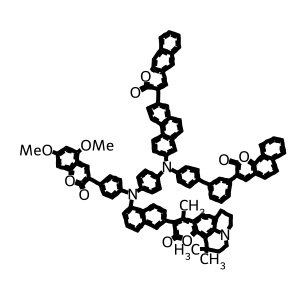 COc1cc(OC)c2cc(-c3ccc(N(c4ccc(N(c5ccc(-c6cccc(-c7cc8ccc9ccccc9c8oc7=O)c6)cc5)c5ccc6c(ccc7cc(-c8cc9cc%10ccccc%10cc9oc8=O)ccc76)c5)cc4)c4cccc5cc(-c6c(C)c7cc8c9c(c7oc6=O)C(C)(C)CCN9CCC8)ccc45)cc3)c(=O)oc2c1